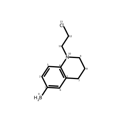 Bc1ccc2c(c1)CCCN2CCCl